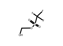 O=S(=O)(OCO)C(F)(F)F